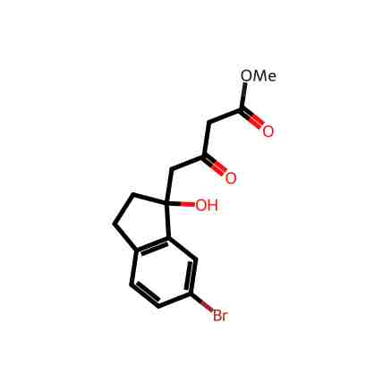 COC(=O)CC(=O)CC1(O)CCc2ccc(Br)cc21